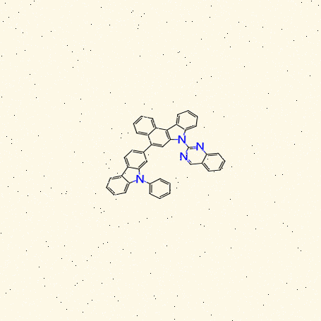 c1ccc(-n2c3ccccc3c3ccc(-c4cc5c(c6ccccc46)c4ccccc4n5-c4ncc5ccccc5n4)cc32)cc1